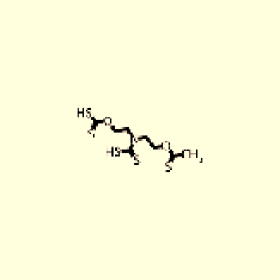 CC(=S)OCCN(CCOC(=S)S)C(=S)S